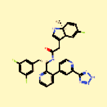 C[C@]12C=CC(F)=CC1C(CC(=O)N[C@@H](Cc1cc(F)cc(F)c1)c1ncccc1-c1ccnc(-c3nn[nH]n3)c1)=CN2